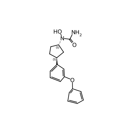 NC(=O)N(O)[C@H]1CC[C@H](c2cccc(Oc3ccccc3)c2)C1